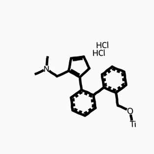 CN(C)CC1=C(c2ccccc2-c2ccccc2C[O][Ti])CC=C1.Cl.Cl